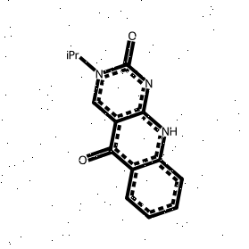 CC(C)n1cc2c(=O)c3ccccc3[nH]c2nc1=O